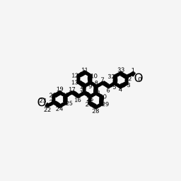 O=Cc1ccc(C=Cc2c3ccccc3c(C=Cc3ccc(C=O)cc3)c3ccccc23)cc1